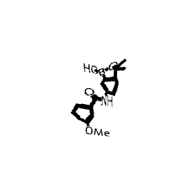 COc1cccc(C(=O)Nc2ccc3c(c2)B(O)OC3(C)C)c1